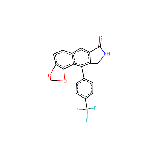 O=C1NCc2c1cc1ccc3c(c1c2-c1ccc(C(F)(F)F)cc1)OCO3